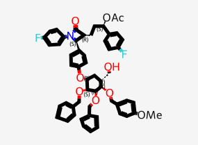 COc1ccc(CO[C@@H]2[C@@H](CO)C[C@@H](Oc3ccc([C@@H]4[C@@H](CC[C@H](OC(C)=O)c5ccc(F)cc5)C(=O)N4c4ccc(F)cc4)cc3)[C@H](OCc3ccccc3)[C@@H]2OCc2ccccc2)cc1